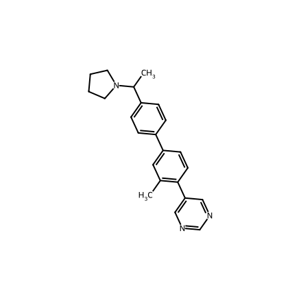 Cc1cc(-c2ccc(C(C)N3CCCC3)cc2)ccc1-c1cncnc1